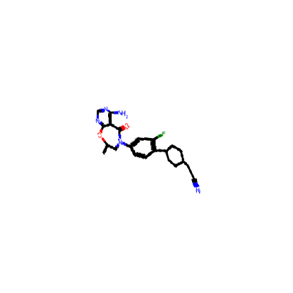 CC1CN(c2ccc(C3CCC(CC#N)CC3)c(F)c2)C(=O)c2c(N)ncnc2O1